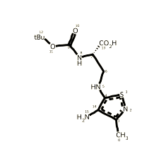 Cc1nsc(NC[C@H](NC(=O)OC(C)(C)C)C(=O)O)c1N